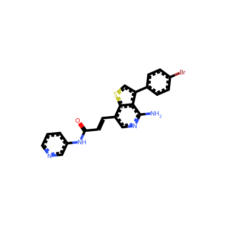 Nc1ncc(/C=C/C(=O)Nc2cccnc2)c2scc(-c3ccc(Br)cc3)c12